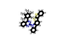 [2H]c1c([2H])c([2H])c(-c2nc(-n3c4ccccc4c4ccc5c(sc6sc7ccccc7c65)c43)nc3ccccc23)c([2H])c1[2H]